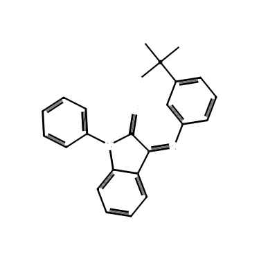 CC(C)(C)c1cccc(/N=C2\C(=O)N(c3ccccc3)c3ccccc32)c1